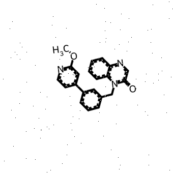 COc1cc(-c2cccc(Cn3c(=O)cnc4ccccc43)c2)ccn1